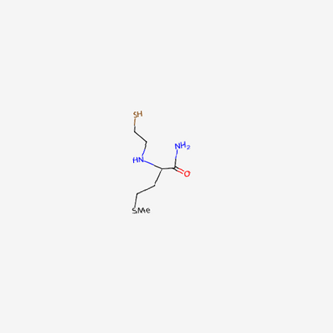 CSCCC(NCCS)C(N)=O